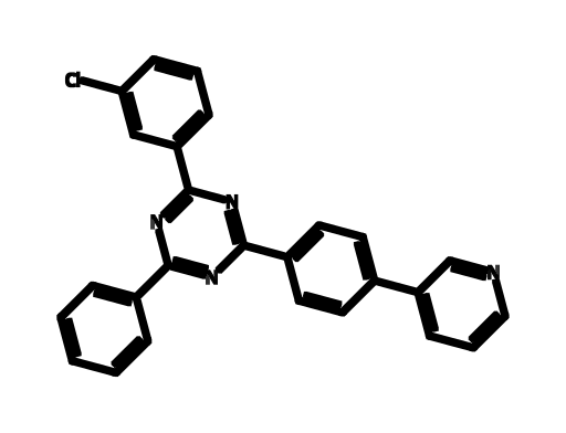 Clc1cccc(-c2nc(-c3ccccc3)nc(-c3ccc(-c4cccnc4)cc3)n2)c1